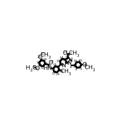 COc1ccc(Cn2nc(C(C)=O)c3ccc(-c4cc(NC(=O)c5cc(OC)cc(OC)c5)ccc4C)nc32)cc1